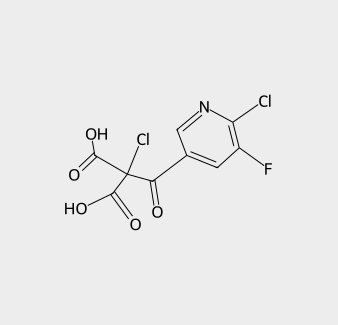 O=C(O)C(Cl)(C(=O)O)C(=O)c1cnc(Cl)c(F)c1